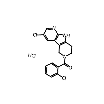 Cl.O=C(c1ccccc1Cl)N1CCc2[nH]c3ncc(Cl)cc3c2C1